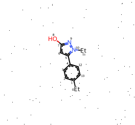 CCc1ccc(-c2cc(O)nn2CC)cc1